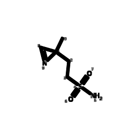 CC1(CCS(N)(=O)=O)C=N1